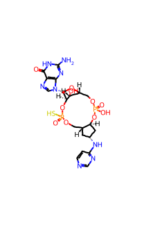 Nc1nc2c(ncn2[C@@H]2O[C@@H]3COP(=O)(O)O[C@H]4C[C@H](Nc5ccncn5)C[C@@H]4COP(=O)(S)O[C@@H]2[C@@H]3O)c(=O)[nH]1